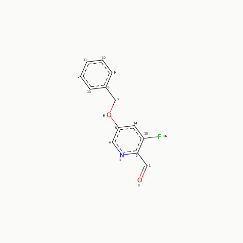 O=Cc1ncc(OCc2ccccc2)cc1F